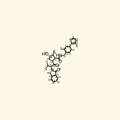 Cc1cc(-c2scnc2C)ccc1CNC(=O)C1[C@@H](C(=O)C(C(C)C)N2Cc3ccccc3C2=O)C[C@H](O)[C@@H]1F